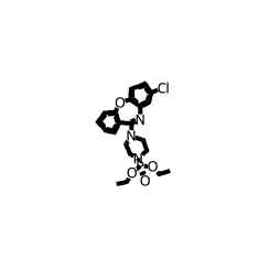 CCOP(=O)(OCC)N1CCN(C2=Nc3cc(Cl)ccc3Oc3ccccc32)CC1